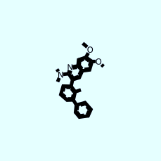 COc1cc2cc(-c3cccc(-c4ccccc4)c3C)c(N(C)C)nc2cc1OC